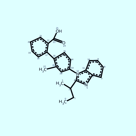 CCC(C)c1nc2ccccc2n1-c1ccc(-c2ccccc2C(=O)O)c(C)c1